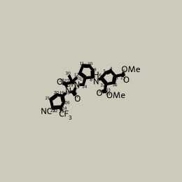 COC(=O)c1ccc(Nc2ccccc2CN2C(=O)N(c3ccc(C#N)c(C(F)(F)F)c3)C(=O)C2(C)C)c(C(=O)OC)c1